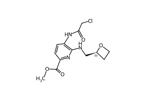 COC(=O)c1ccc(NC(=O)CCl)c(NC[C@@H]2CCO2)n1